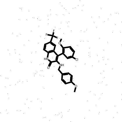 COc1ccc(CNc2c(-c3cc(Cl)ccc3OC)c3cc(C(F)(F)F)ccc3[nH]c2=O)cc1